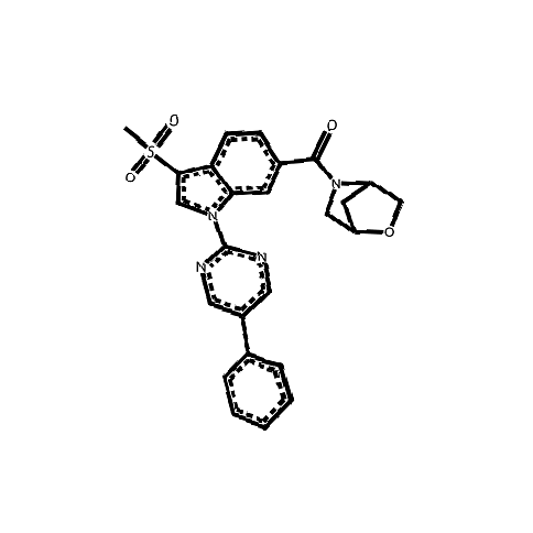 CS(=O)(=O)c1cn(-c2ncc(-c3ccccc3)cn2)c2cc(C(=O)N3CC4CC3CO4)ccc12